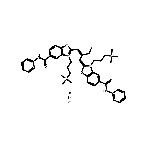 CCC(=Cc1oc2ccc(C(=O)Nc3ccccc3)cc2[n+]1CCC[N+](C)(C)C)C=C1Oc2ccc(C(=O)Nc3ccccc3)cc2N1CCC[N+](C)(C)C.[Br-].[Br-].[Br-]